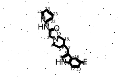 O=C(CN1CCC(Cc2c[nH]c3ccc(F)cc23)CC1)Nc1ccccn1